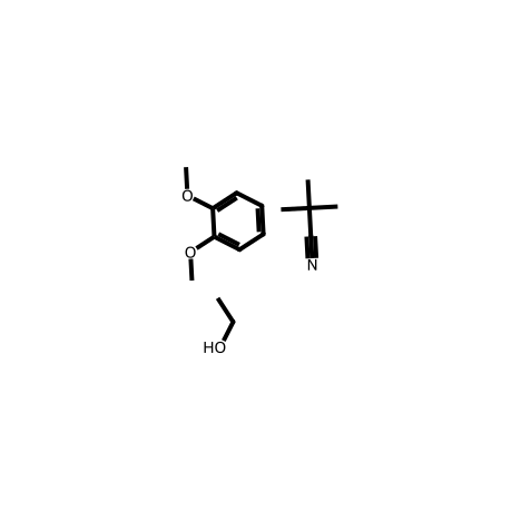 CC(C)(C)C#N.CCO.COc1ccccc1OC